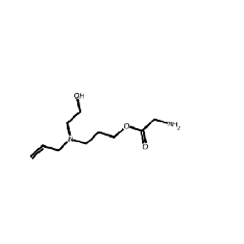 C=CCN(CCO)CCCOC(=O)CN